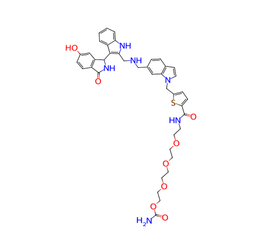 NC(=O)OCCOCCOCCOCCNC(=O)c1ccc(Cn2ccc3ccc(CNCc4[nH]c5ccccc5c4C4NC(=O)c5ccc(O)cc54)cc32)s1